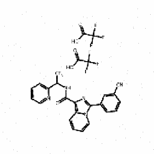 N#Cc1cccc(-c2nc(C(=O)NC(c3ccccn3)C(F)(F)F)c3ccccn23)c1.O=C(O)C(F)(F)F.O=C(O)C(F)(F)F